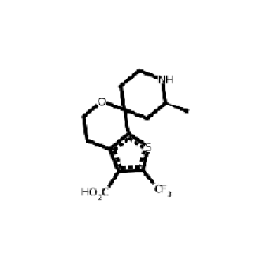 C[C@H]1CC2(CCN1)OCCc1c2sc(C(F)(F)F)c1C(=O)O